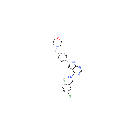 Clc1ccc(Cl)c(CNc2ncnc3[nH]c(-c4ccc(CN5CCOCC5)cc4)cc23)c1